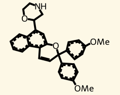 COc1ccc(C2(c3ccc(OC)cc3)C=Cc3c(cc(C4CNCCO4)c4ccccc34)O2)cc1